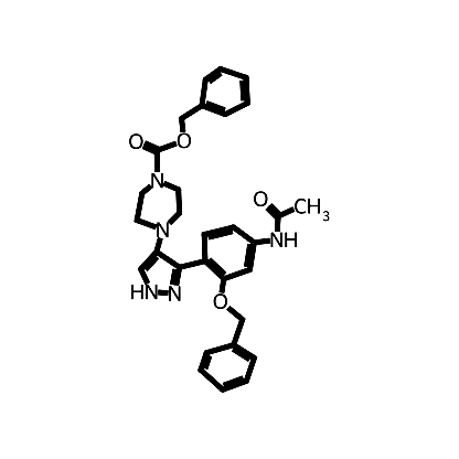 CC(=O)Nc1ccc(-c2n[nH]cc2N2CCN(C(=O)OCc3ccccc3)CC2)c(OCc2ccccc2)c1